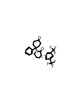 O=C1CCC(c2ccccc2)(N2CCC[C@@H](c3cc(C(F)(F)F)cc(C(F)(F)F)c3)C2=O)CC1